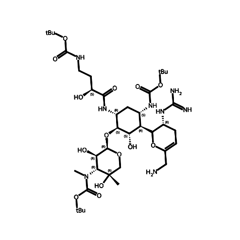 CN(C(=O)OC(C)(C)C)[C@@H]1[C@@H](O)[C@@H](O[C@@H]2[C@@H](O)[C@H](C3OC(CN)=CC[C@H]3NC(=N)N)[C@@H](NC(=O)OC(C)(C)C)C[C@H]2NC(=O)[C@@H](O)CCNC(=O)OC(C)(C)C)OC[C@]1(C)O